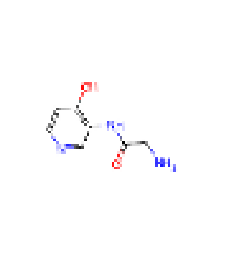 NCC(=O)Nc1cnccc1O